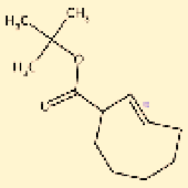 CC(C)(C)OC(=O)C1/C=C/CCCCC1